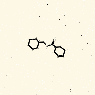 O=C(OCC1CCCCC1)C1CC=CCC1